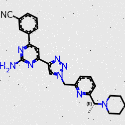 C[C@H](c1cccc(Cn2cc(-c3cc(-c4cccc(C#N)c4)nc(N)n3)nn2)n1)N1CCCCC1